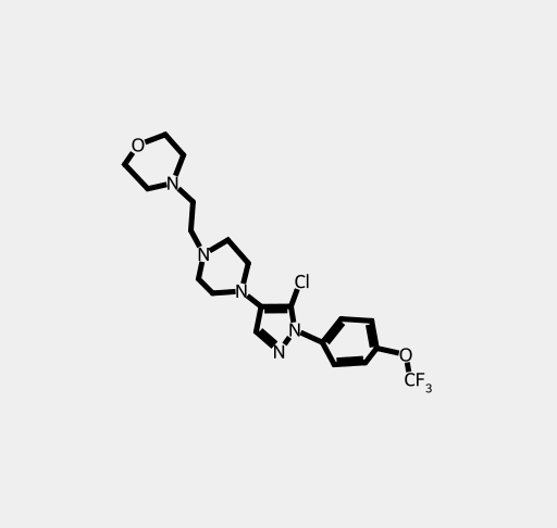 FC(F)(F)Oc1ccc(-n2ncc(N3CCN(CCN4CCOCC4)CC3)c2Cl)cc1